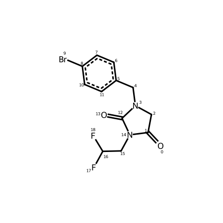 O=C1CN(Cc2ccc(Br)cc2)C(=O)N1CC(F)F